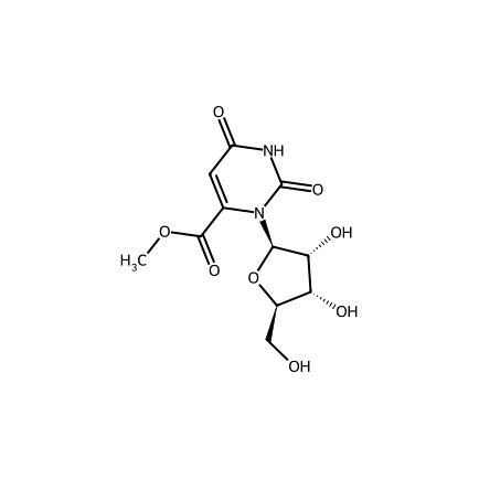 COC(=O)c1cc(=O)[nH]c(=O)n1[C@@H]1O[C@H](CO)[C@@H](O)[C@H]1O